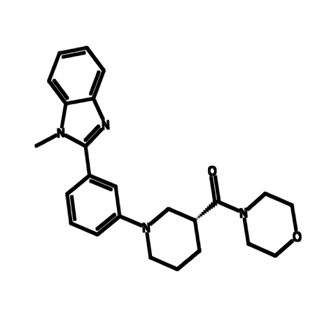 Cn1c(-c2cccc(N3CCC[C@@H](C(=O)N4CCOCC4)C3)c2)nc2ccccc21